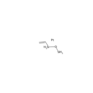 C=C[SiH2]O[SiH3].[Pt]